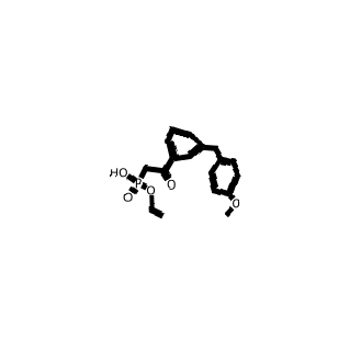 CCOP(=O)(O)CC(=O)c1cccc(Cc2ccc(OC)cc2)c1